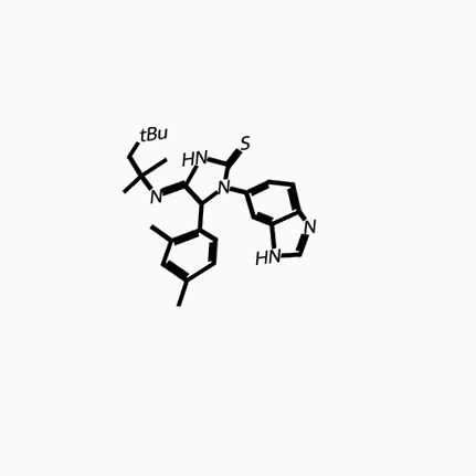 Cc1ccc(C2C(=NC(C)(C)CC(C)(C)C)NC(=S)N2c2ccc3nc[nH]c3c2)c(C)c1